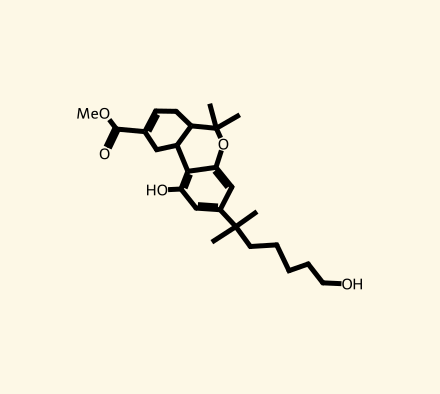 COC(=O)C1=CCC2C(C1)c1c(O)cc(C(C)(C)CCCCCO)cc1OC2(C)C